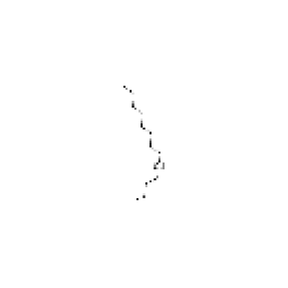 CCCCCCC[CH2][Cd][CH2]CCC